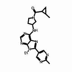 CCn1c(-c2cnc(C)nc2)nc2c(NC3CCN(C(=O)C4CC4C)C3)ncnc21